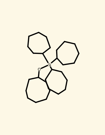 C1CCCC(O[Si](C2CCCCCC2)(C2CCCCCC2)C2CCCCCC2)CCC1